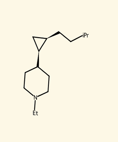 CCN1CCC([C@H]2C[C@H]2CCC(C)C)CC1